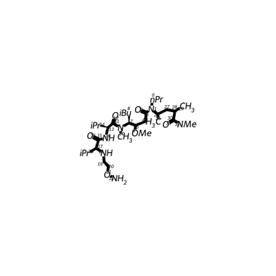 CCCN(C(=O)CC(OC)[C@H](C(C)CC)N(C)C(=O)[C@@H](NC(=O)C(NCCON)C(C)C)C(C)C)C(C)CC(C)C(=O)NC